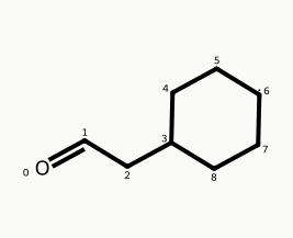 O=CCC1CC[CH]CC1